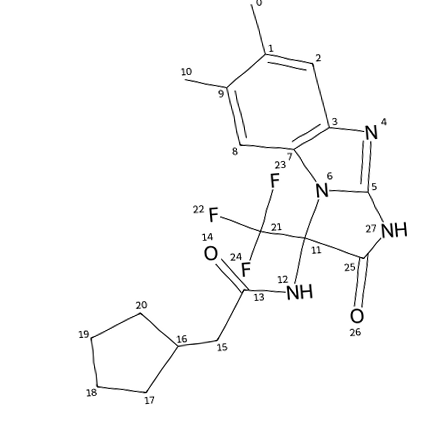 Cc1cc2nc3n(c2cc1C)C(NC(=O)CC1CCCC1)(C(F)(F)F)C(=O)N3